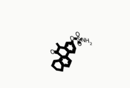 CC1C(=O)c2c(ccc3c2CCCC3)-c2ccc(OS(N)(=O)=O)cc21